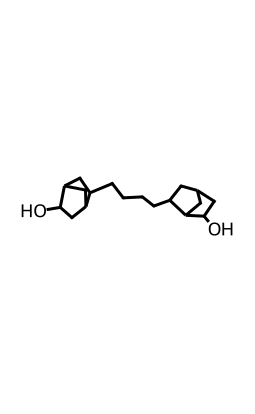 OC1CC2CC1CC2CCCCC1CC2CC(O)C1C2